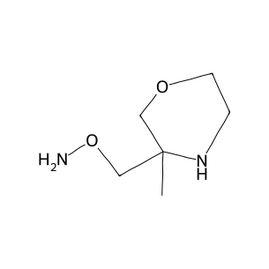 CC1(CON)COCCN1